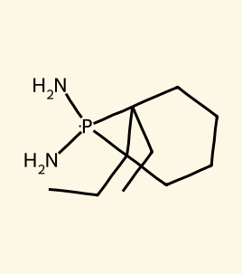 CCC12CCCCC1(CC)[P]2(N)N